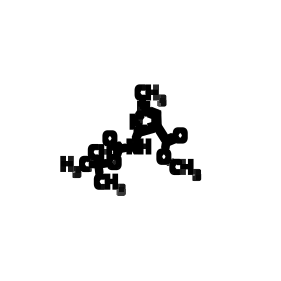 COC(=O)c1cn(C)nc1NC(=O)OC(C)(C)C